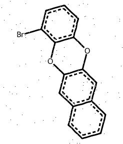 Brc1cccc2c1Oc1cc3ccccc3cc1O2